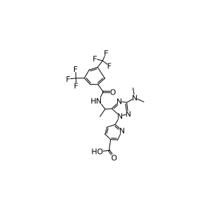 CC(NC(=O)c1cc(C(F)(F)F)cc(C(F)(F)F)c1)c1nc(N(C)C)nn1-c1ccc(C(=O)O)cn1